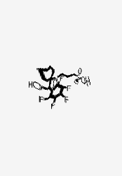 O=S(=O)(O)CCCNC1(C(O)c2c(F)c(F)c(F)c(F)c2F)CCCC1